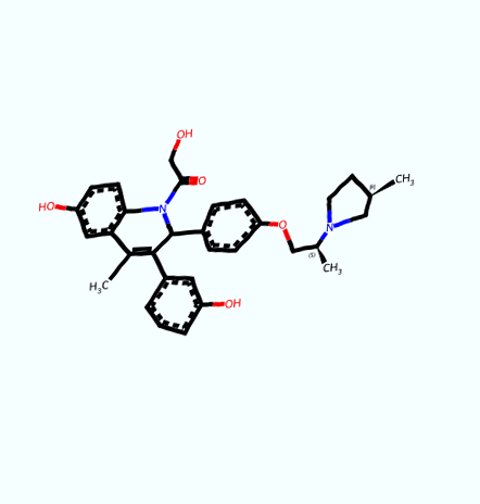 CC1=C(c2cccc(O)c2)C(c2ccc(OC[C@H](C)N3CC[C@@H](C)C3)cc2)N(C(=O)CO)c2ccc(O)cc21